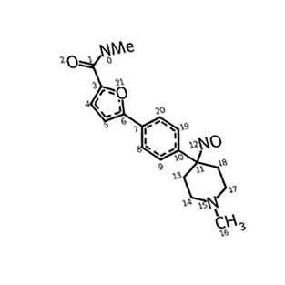 CNC(=O)c1ccc(-c2ccc(C3(N=O)CCN(C)CC3)cc2)o1